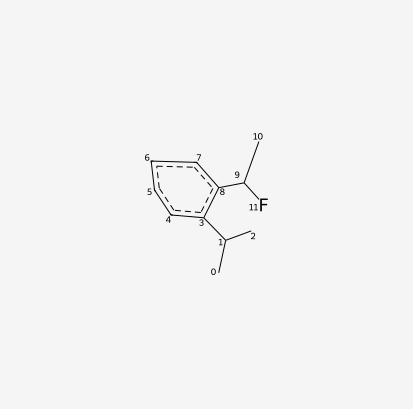 CC(C)c1ccccc1C(C)F